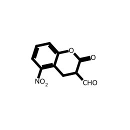 O=CC1Cc2c(cccc2[N+](=O)[O-])OC1=O